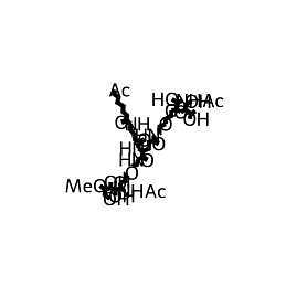 COC(CO)C(O)C(O)C(NC(C)=O)OCCOCCNC(=O)C(CCC(=O)NCCOCCOC(OC(CO)C(C)O)C(O)NC(C)=O)NC(=O)CCCNC(=O)CCCCCCC(C)=O